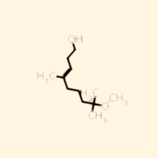 COC(C)(C)CCCC(C)=CCCO